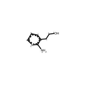 Nc1ncccc1CCO